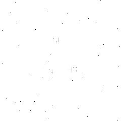 C/C=N/C(C=N)=C\NC